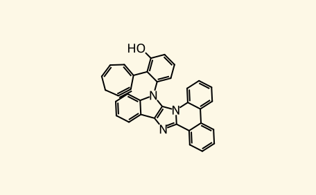 Oc1cccc(-n2c3ccccc3c3nc4c5ccccc5c5ccccc5n4c32)c1C1=CC=CCC#C1